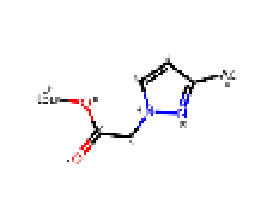 CC(=O)c1ccn(CC(=O)OC(C)(C)C)n1